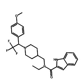 CCN(CC1CCN(C(c2ccc(OC)cc2)C(F)(F)F)CC1)C(=O)c1cc2ccccc2[nH]1